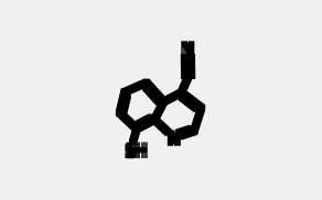 N#Cc1ccnc2c(S)cccc12